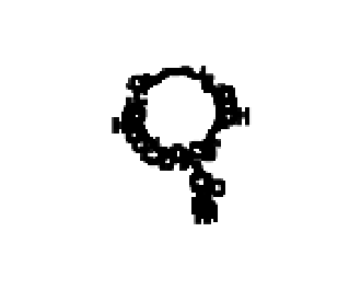 CO[C@H]1C[C@@H]2CC[C@@H](C)[C@@](O)(O2)C(=O)C(=O)N2CCCCC2C(=O)O[C@H]([C@H](C)CC2CC[C@@H](n3cnnn3)[C@H](OC)C2)CC(=O)[C@H](C)/C=C(\C)[C@@H](O)[C@@H](OC)C(=O)[C@@H](C)C[C@H](C)/C=C/C=C/C=C/1C